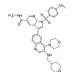 CNC(=O)C1=CC2C(c3ccc4ncc(NCC5CCOCC5)c(N5CCOCC5)c4c3)=CN(S(=O)(=O)c3ccc(C)cc3)C2N=C1